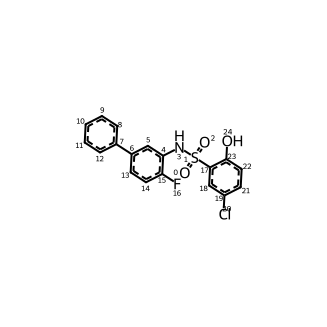 O=S(=O)(Nc1cc(-c2ccccc2)ccc1F)c1cc(Cl)ccc1O